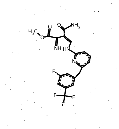 COC(=O)C(=N)/C(=C\Nc1cccc(Cc2cc(F)cc(C(F)(F)F)c2)n1)C(N)=O